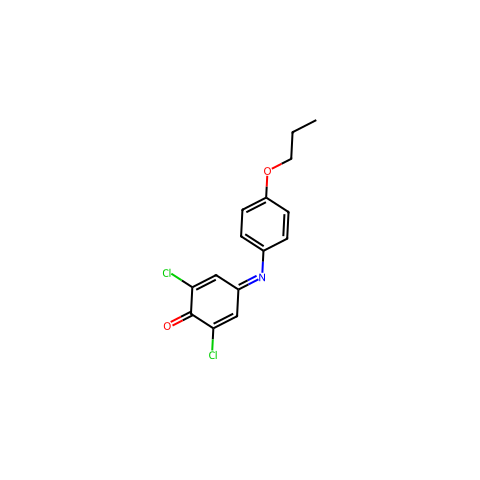 CCCOc1ccc(N=C2C=C(Cl)C(=O)C(Cl)=C2)cc1